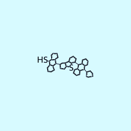 Sc1c2ccccc2c(-c2ccc3sc4c(-c5c6ccccc6c(-c6ccccc6)c6ccccc56)cccc4c3c2)c2ccccc12